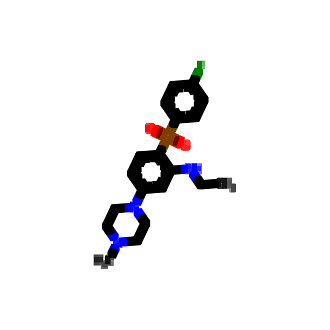 CCNc1cc(N2CCN(C)CC2)ccc1S(=O)(=O)c1ccc(F)cc1